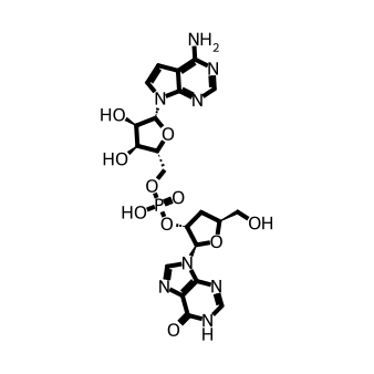 Nc1ncnc2c1ccn2[C@@H]1O[C@H](COP(=O)(O)O[C@@H]2C[C@@H](CO)O[C@H]2n2cnc3c(=O)[nH]cnc32)[C@@H](O)[C@H]1O